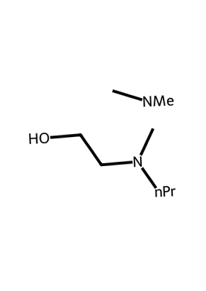 CCCN(C)CCO.CNC